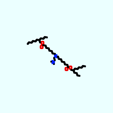 CCCCCCC(CCCC)COC(=O)CCCCCCCN(CCCCCCCC(=O)OCC(CCCC)CCCCCC)CCN(C)C